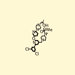 COC(=O)N(C)C1CCN(Cc2cc(Oc3ccc(N4CCN(C[C@@H](C)O)CC4)nc3)nc(-c3cc(Cl)cc(Cl)c3)c2)CC1